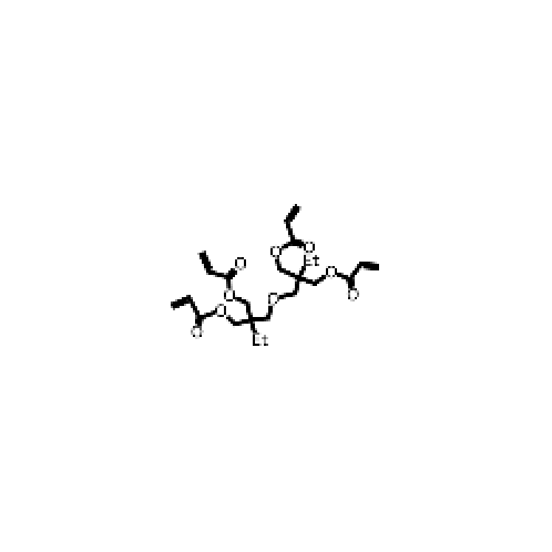 C=CC(=O)OCC(CC)(COCC(CC)(COC(=O)C=C)COC(=O)C=C)COC(=O)C=C